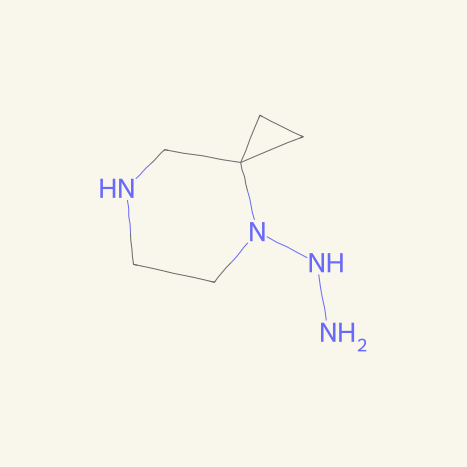 NNN1CCNCC12CC2